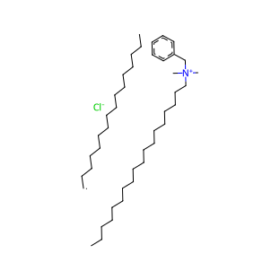 CCCCCCCCCCCCCCCCCC[N+](C)(C)Cc1ccccc1.[CH2]CCCCCCCCCCCCCCC.[Cl-]